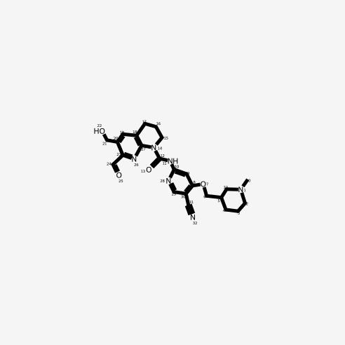 CN1CCCC(COc2cc(NC(=O)N3CCCc4cc(CO)c(C=O)nc43)ncc2C#N)C1